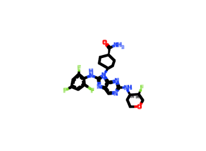 NC(=O)[C@H]1CC[C@@H](n2c(Nc3c(F)cc(F)cc3F)nc3cnc(N[C@@H]4CCOC[C@@H]4F)nc32)CC1